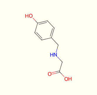 O=C(O)CNCc1ccc(O)cc1